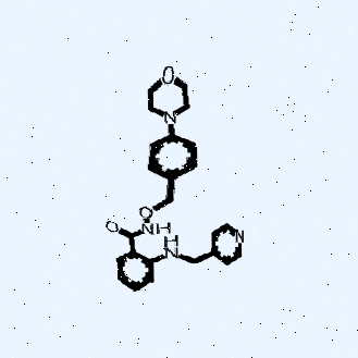 O=C(NOCc1ccc(N2CCOCC2)cc1)c1ccccc1NCc1ccncc1